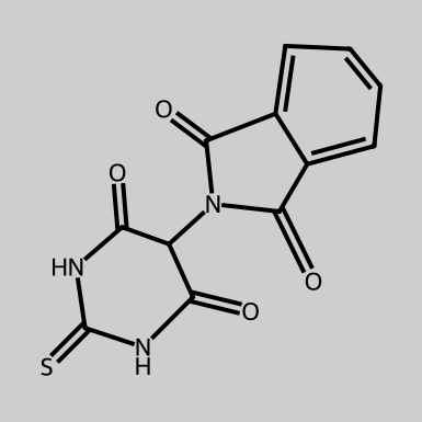 O=C1NC(=S)NC(=O)C1N1C(=O)c2ccccc2C1=O